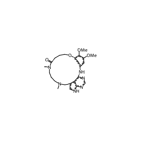 COc1cc2cc(c1OC)OCCCC(=O)N(C)CCCN(C)Cc1c[nH]c3ncnc(c13)N2